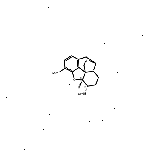 COc1ccc2c3c1O[C@H]1[C@@H](NC(C)=O)CCC4C(C2)NCCC341